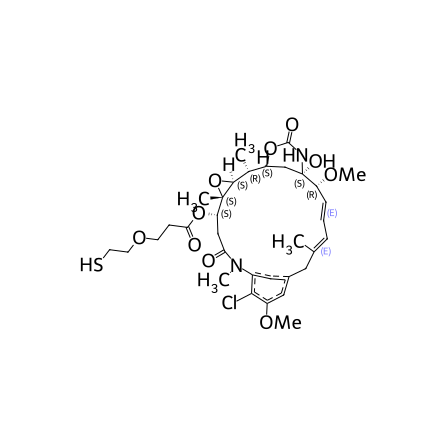 COc1cc2cc(c1Cl)N(C)C(=O)C[C@H](OC(=O)CCOCCS)[C@]1(C)O[C@H]1[C@H](C)[C@@H]1C[C@@](O)(NC(=O)O1)[C@H](OC)/C=C/C=C(\C)C2